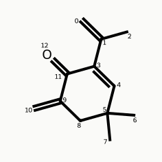 C=C(C)C1=CC(C)(C)CC(=C)C1=O